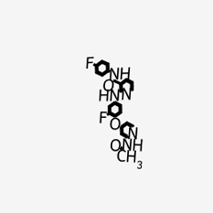 CC(=O)Nc1cc(Oc2ccc(Nc3ncccc3C(=O)Nc3ccc(F)cc3)cc2F)ccn1